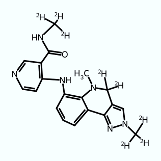 [2H]C([2H])([2H])NC(=O)c1cnccc1Nc1cccc2c1N(C)C([2H])([2H])c1cn(C([2H])([2H])[2H])nc1-2